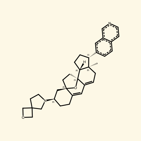 C[C@]12CC=C3C=C4CC[C@@H](N5CCC6(COC6)C5)C[C@]45CC[C@]3(O5)[C@@H]1CC[C@@H]2c1ccc2ccncc2c1